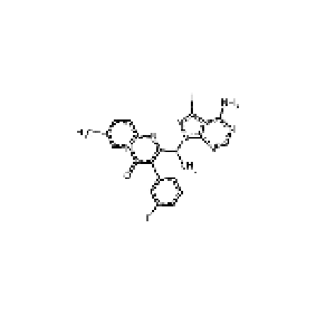 Cc1ccc2nc(C(C)n3nc(I)c4c(N)ncnc43)c(-c3cccc(F)c3)c(=O)n2c1